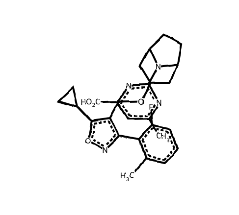 Cc1cc(C(=O)O)nc(N2C3CCC2CC(OCc2c(-c4c(C)cccc4F)noc2C2CC2)C3)n1